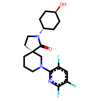 O=C1N([C@H]2CC[C@H](O)CC2)CC[C@]12CCCN(c1nc(F)c(F)cc1F)C2